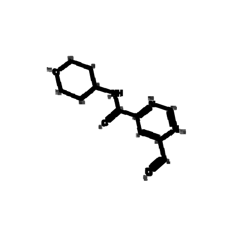 O=Cc1cc(C(=O)NC2CCOCC2)ncn1